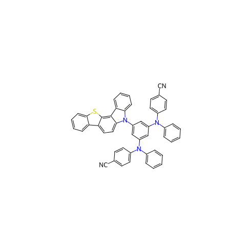 N#Cc1ccc(N(c2ccccc2)c2cc(N(c3ccccc3)c3ccc(C#N)cc3)cc(-n3c4ccccc4c4c5sc6ccccc6c5ccc43)c2)cc1